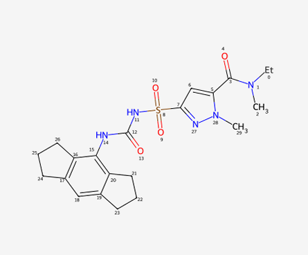 CCN(C)C(=O)c1cc(S(=O)(=O)NC(=O)Nc2c3c(cc4c2CCC4)CCC3)nn1C